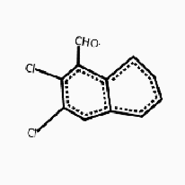 O=[C]c1c(Cl)c(Cl)cc2ccccc12